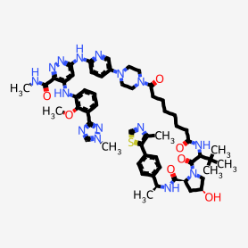 CNC(=O)c1nnc(Nc2ccc(N3CCN(C(=O)CCCCCCC(=O)NC(C(=O)N4C[C@H](O)C[C@H]4C(=O)N[C@@H](C)c4ccc(-c5scnc5C)cc4)C(C)(C)C)CC3)cn2)cc1Nc1cccc(-c2ncn(C)n2)c1OC